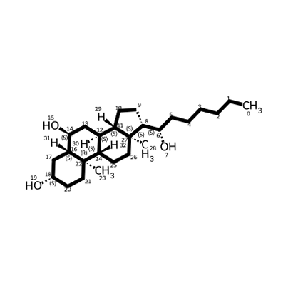 CCCCCC[C@H](O)[C@H]1CC[C@H]2[C@@H]3C[C@H](O)[C@H]4C[C@@H](O)CC[C@]4(C)[C@H]3CC[C@]12C